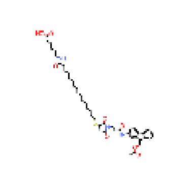 CC(=O)OCC1c2ccccc2-c2ccc(NC(=O)CCN3C(=O)CC(SCCCCCCCCCCCCCCCC(=O)NCCCCCC(=O)O)C3=O)cc21